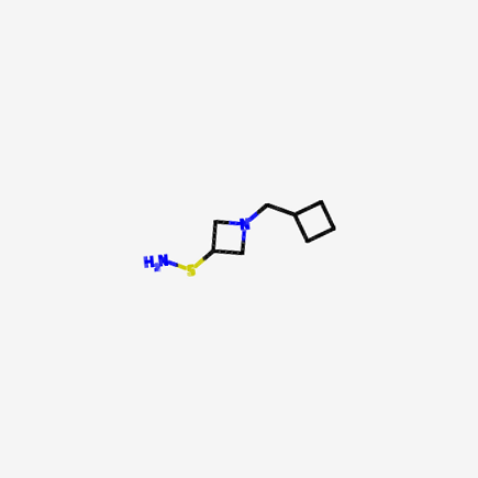 NSC1CN(CC2CCC2)C1